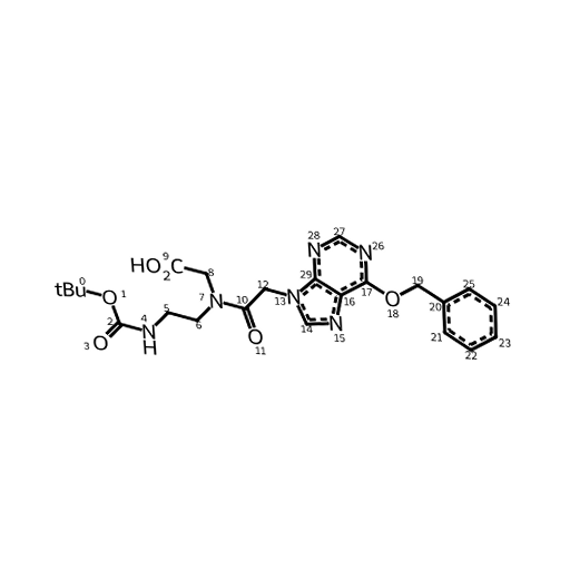 CC(C)(C)OC(=O)NCCN(CC(=O)O)C(=O)Cn1cnc2c(OCc3ccccc3)ncnc21